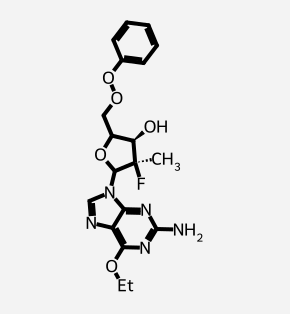 CCOc1nc(N)nc2c1ncn2C1OC(COOc2ccccc2)[C@@H](O)[C@@]1(C)F